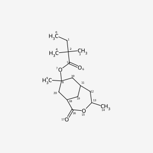 CCC(C)(C)C(=O)OC1(C)CC2CC(C)OC(=O)C(C2)C1